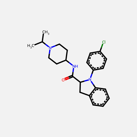 CC(C)N1CCC(NC(=O)C2Cc3ccccc3N2c2ccc(Cl)cc2)CC1